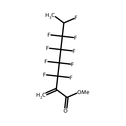 C=C(C(=O)OC)C(F)(F)C(F)(F)C(F)(F)C(F)(F)C(C)F